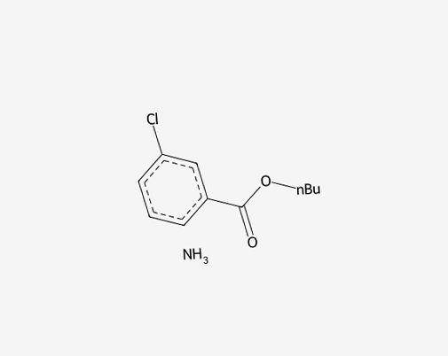 CCCCOC(=O)c1cccc(Cl)c1.N